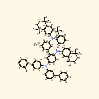 Cc1ccccc1-c1ccc(N(c2cccc(-c3ccccc3)c2)c2ccc3c(c2)-c2cc(C(C)C)cc4c2B(c2cccc5c2N4c2cc4c(cc2C5(C)C)C(C)(C)CCC4(C)C)N3c2ccc3c(c2)C(C)(C)CCC3(C)C)cc1